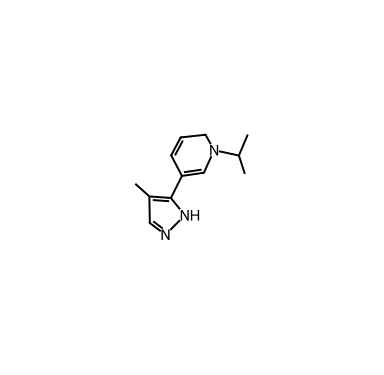 Cc1cn[nH]c1C1=CN(C(C)C)CC=C1